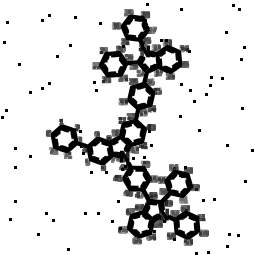 c1ccc(-c2ccc3c(c2)c2cc(-c4ccc(-c5c(-c6ccccc6)n(-c6ccccc6)c6ccccc56)cc4)ccc2n3-c2ccc(-c3c(-c4ccccc4)n(-c4ccccc4)c4ccccc34)cc2)cc1